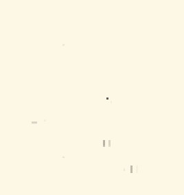 CCCN(CC(C)(C)C)C(=O)C1CCCCC1